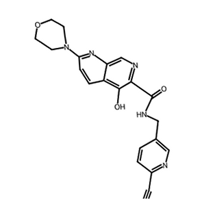 N#Cc1ccc(CNC(=O)c2ncc3nc(N4CCOCC4)ccc3c2O)cn1